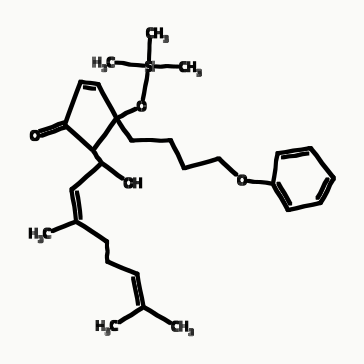 CC(C)=CCCC(C)=CC(O)C1C(=O)C=CC1(CCCCOc1ccccc1)O[Si](C)(C)C